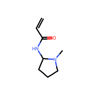 C=CC(=O)NC1CCCN1C